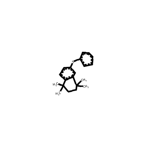 CC1(C)CCC(C)(C)c2cc(Sc3c[c]ccc3)ccc21